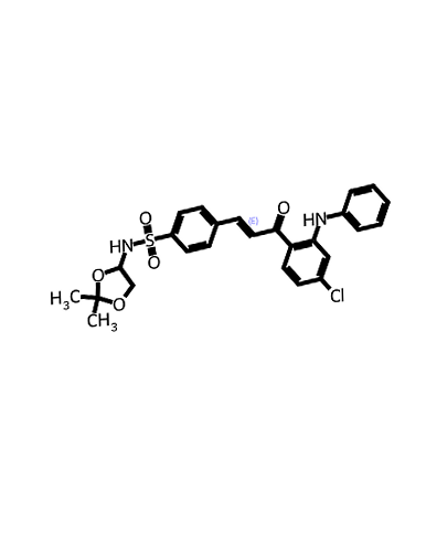 CC1(C)OCC(NS(=O)(=O)c2ccc(/C=C/C(=O)c3ccc(Cl)cc3Nc3ccccc3)cc2)O1